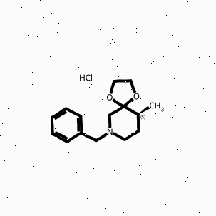 C[C@H]1CCN(Cc2ccccc2)CC12OCCO2.Cl